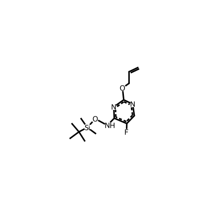 C=CCOc1ncc(F)c(NO[Si](C)(C)C(C)(C)C)n1